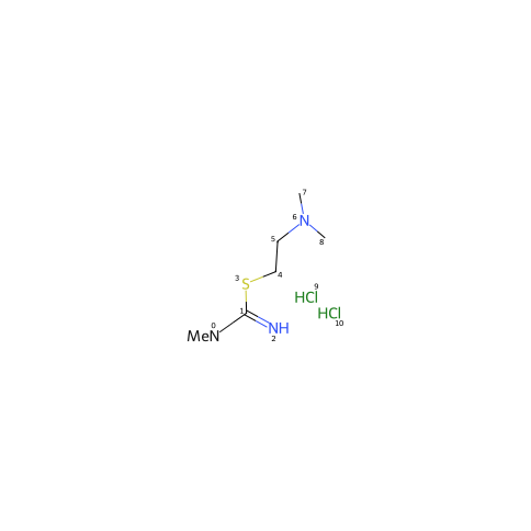 CNC(=N)SCCN(C)C.Cl.Cl